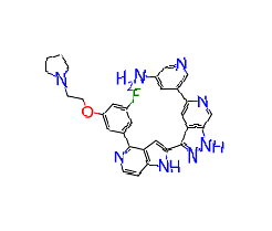 Nc1cncc(-c2cc3c(-c4cc5c(-c6cc(F)cc(OCCN7CCCC7)c6)nccc5[nH]4)n[nH]c3cn2)c1